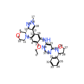 CCOc1cc(N2CCOCC2)c(-c2cnn(C)c2)cc1Nc1cc(N2OCC[C@@H]2c2ccccc2)ncn1